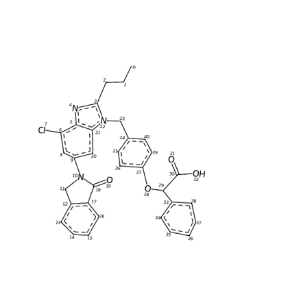 CCCc1nc2c(Cl)cc(N3Cc4ccccc4C3=O)cc2n1Cc1ccc(OC(C(=O)O)c2ccccc2)cc1